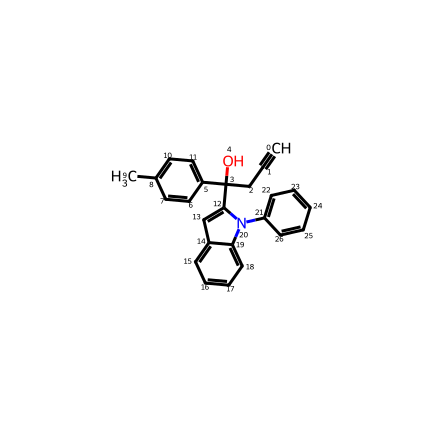 C#CCC(O)(c1ccc(C)cc1)c1cc2ccccc2n1-c1ccccc1